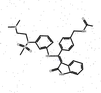 CC(=O)NCc1ccc(/C(Nc2cccc(N(CCN(C)C)S(C)(=O)=O)c2)=C2/C(=O)Nc3ccccc32)cc1